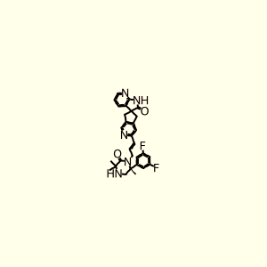 CC1(C)NC[C@@](C)(c2cc(F)cc(F)c2)N(CC=Cc2cc3c(cn2)CC2(C3)C(=O)Nc3ncccc32)C1=O